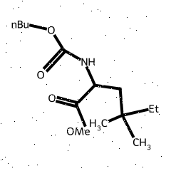 CCCCOC(=O)NC(CC(C)(C)CC)C(=O)OC